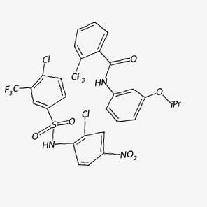 CC(C)Oc1cccc(NC(=O)c2ccccc2C(F)(F)F)c1.O=[N+]([O-])c1ccc(NS(=O)(=O)c2ccc(Cl)c(C(F)(F)F)c2)c(Cl)c1